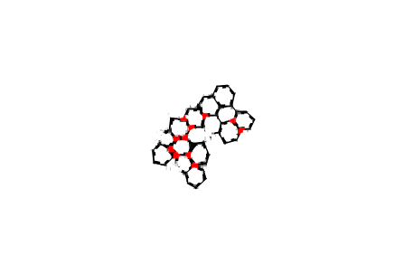 c1ccc(-c2cccc3cccc(-c4ccccc4N(c4ccccc4-c4ccc5oc6ccccc6c5c4)c4ccccc4-c4cccc5sc6ccccc6c45)c23)cc1